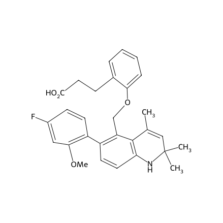 COc1cc(F)ccc1-c1ccc2c(c1COc1ccccc1CCC(=O)O)C(C)=CC(C)(C)N2